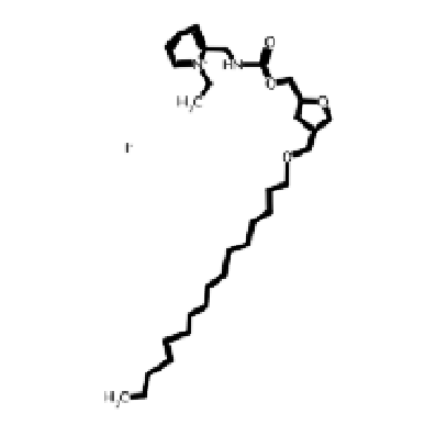 CCCCCCCCCCCCCCCCOCC1COC(COC(=O)NCc2cccc[n+]2CC)C1.[I-]